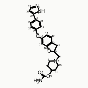 NC(=O)OC1CCN(CC2Cc3ccc(Oc4ccc(-c5ccn[nH]5)cc4)cc3O2)CC1